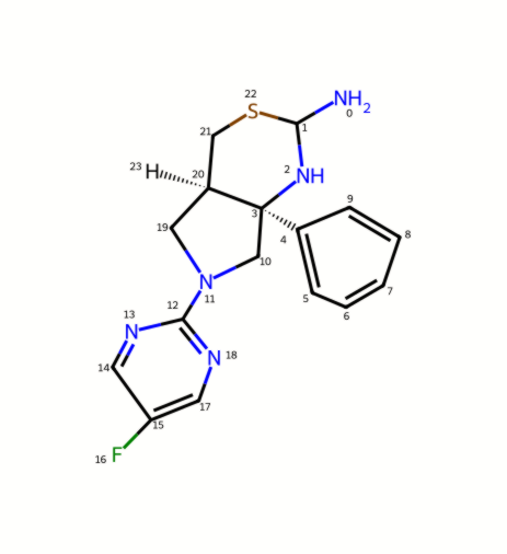 NC1N[C@@]2(c3ccccc3)CN(c3ncc(F)cn3)C[C@H]2CS1